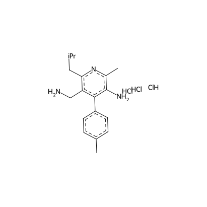 Cc1ccc(-c2c(N)c(C)nc(CC(C)C)c2CN)cc1.Cl.Cl.Cl